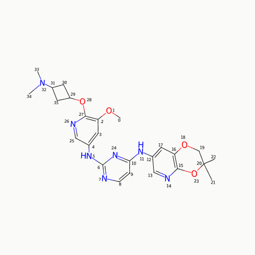 COc1cc(Nc2nccc(Nc3cnc4c(c3)OCC(C)(C)O4)n2)cnc1OC1CC(N(C)C)C1